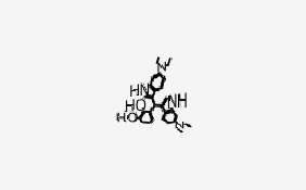 CCN(CC)c1ccc2c(C(c3cccc(O)c3O)c3c[nH]c4cc(N(CC)CC)ccc34)c[nH]c2c1